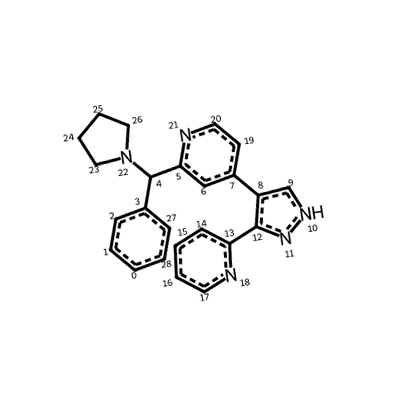 c1ccc(C(c2cc(-c3c[nH]nc3-c3ccccn3)ccn2)N2CCCC2)cc1